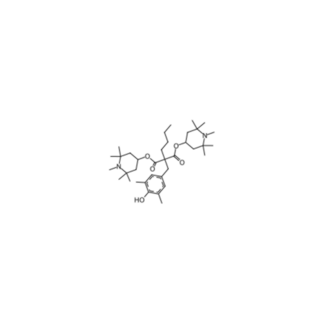 CCCCC(Cc1cc(C)c(O)c(C)c1)(C(=O)OC1CC(C)(C)N(C)C(C)(C)C1)C(=O)OC1CC(C)(C)N(C)C(C)(C)C1